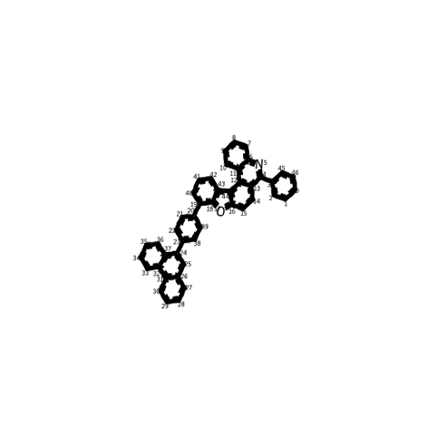 c1ccc(-c2nc3ccccc3c3c2ccc2oc4c(-c5ccc(-c6cc7ccccc7c7ccccc67)cc5)cccc4c23)cc1